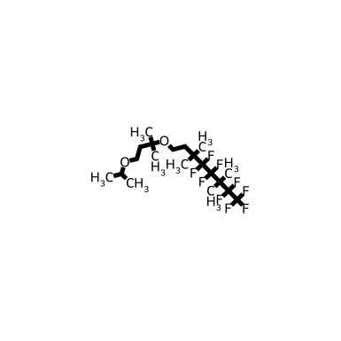 CC(C)OCCC(C)(C)OCCC(C)(C)C(F)(F)C(F)(F)C(C)(C)C(F)(F)C(F)(F)F